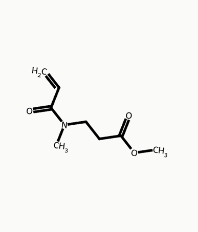 C=CC(=O)N(C)CCC(=O)OC